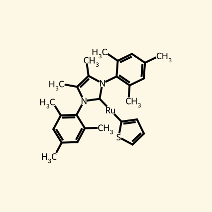 CC1=C(C)N(c2c(C)cc(C)cc2C)[CH]([Ru][c]2cccs2)N1c1c(C)cc(C)cc1C